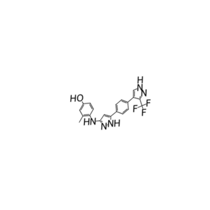 Cc1cc(O)ccc1Nc1cc(-c2ccc(-c3c[nH]nc3C(F)(F)F)cc2)[nH]n1